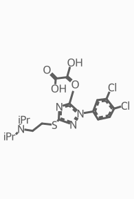 Cc1nc(SCCN(C(C)C)C(C)C)nn1-c1ccc(Cl)c(Cl)c1.O=C(O)C(=O)O